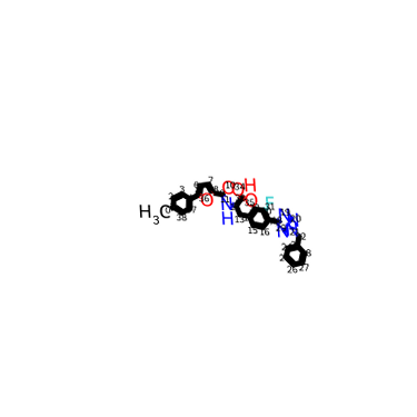 Cc1ccc(-c2ccc(C(=O)NC(Cc3ccc(-c4nnn(Cc5ccccc5)n4)c(F)c3)C(=O)O)o2)cc1